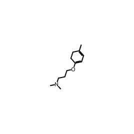 CC1=CC=C(OCCCN(C)C)CC1